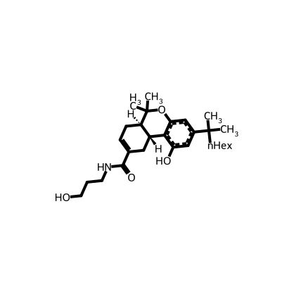 CCCCCCC(C)(C)c1cc(O)c2c(c1)OC(C)(C)[C@@H]1CC=C(C(=O)NCCCO)C[C@@H]21